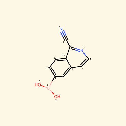 N#Cc1nccc2cc(B(O)O)ccc12